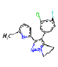 Cc1cccc(-c2nn3c(c2-c2ccc(F)c(Cl)c2)CCC3)n1